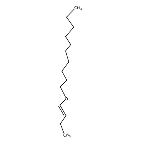 CCC=COCCCCCCCCCC